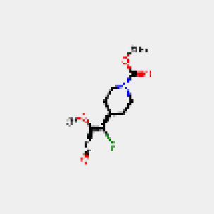 CCOC(=C=O)C(F)=C1CCN(C(=O)OC(C)(C)C)CC1